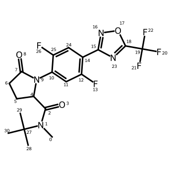 CN(C(=O)C1CCC(=O)N1c1cc(F)c(-c2noc(C(F)(F)F)n2)cc1F)C(C)(C)C